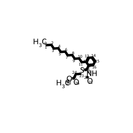 CCCCCCCCCCCCc1ccccc1C(NC=O)SCCC(=O)OC